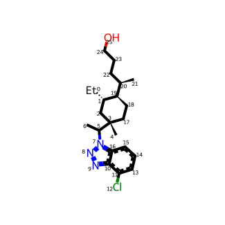 CC[C@H]1C[C@@](C)(C(C)n2nnc3c(Cl)cccc32)CC[C@@H]1[C@H](C)CCCO